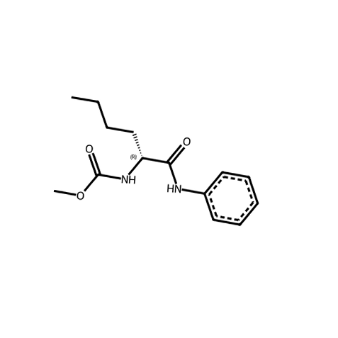 CCCC[C@@H](NC(=O)OC)C(=O)Nc1ccccc1